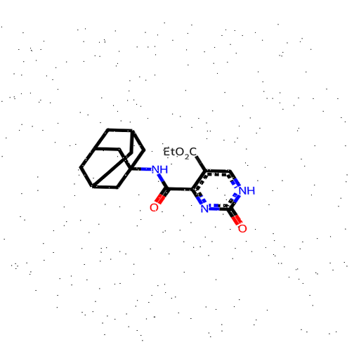 CCOC(=O)c1c[nH]c(=O)nc1C(=O)NC12CC3CC(CC(C3)C1)C2